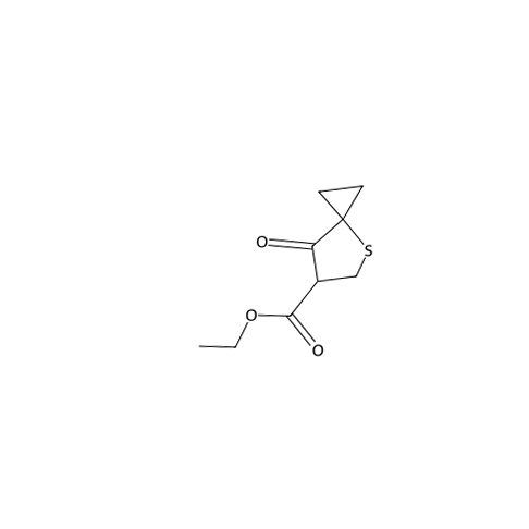 CCOC(=O)C1CSC2(CC2)C1=O